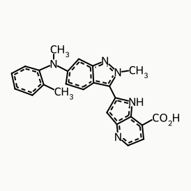 Cc1ccccc1N(C)c1ccc2c(-c3cc4nccc(C(=O)O)c4[nH]3)n(C)nc2c1